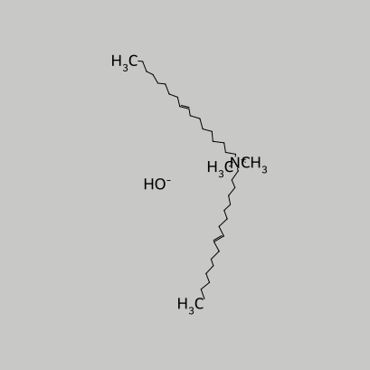 CCCCCCCCC=CCCCCCCCC[N+](C)(C)CCCCCCCCC=CCCCCCCCC.[OH-]